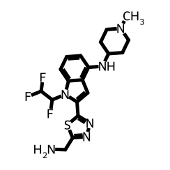 CN1CCC(Nc2cccc3c2cc(-c2nnc(CN)s2)n3C(F)C(F)F)CC1